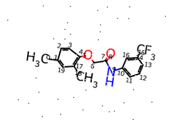 Cc1ccc(OCC(=O)Nc2cccc(C(F)(F)F)c2)c(C)c1